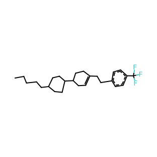 CCCCCC1CCC(C2CC=C(CCc3ccc(C(F)(F)F)cc3)CC2)CC1